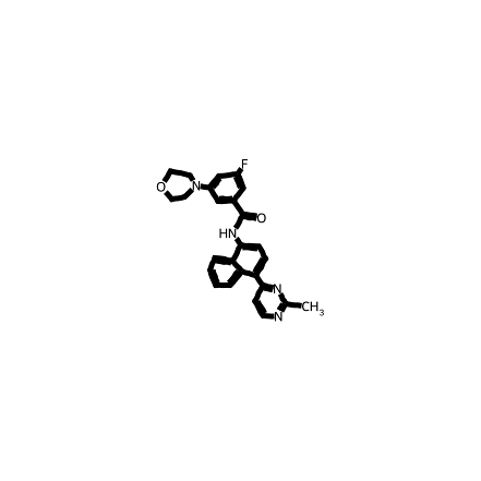 Cc1nccc(-c2ccc(NC(=O)c3cc(F)cc(N4CCOCC4)c3)c3ccccc23)n1